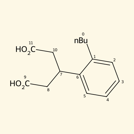 CCCCc1ccccc1C(CC(=O)O)CC(=O)O